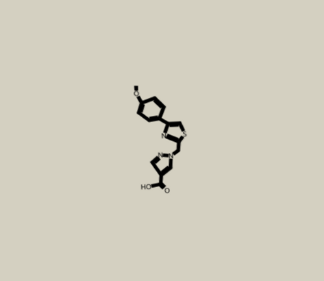 COc1ccc(-c2csc(Cn3cc(C(=O)O)cn3)n2)cc1